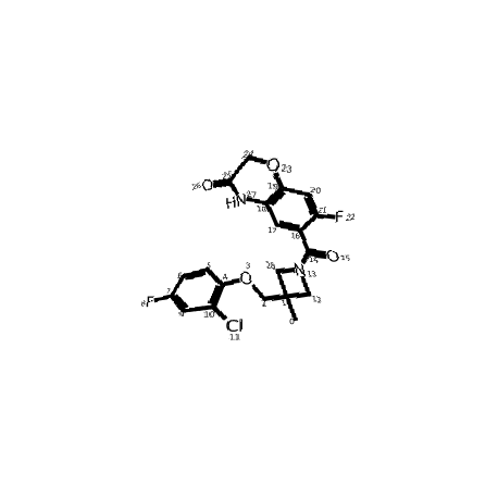 CC1(COc2ccc(F)cc2Cl)CN(C(=O)c2cc3c(cc2F)OCC(=O)N3)C1